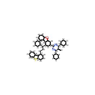 C=C1C(c2ccccc2)=NC(c2cc(C(CCc3cccc4sc5ccccc5c34)c3ccccc3)c3c(c2)oc2ccccc23)=NC1c1ccccc1